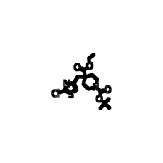 CCOC(=O)C1(Cc2csc(Cl)n2)CCN(C(=O)OC(C)(C)C)CC1